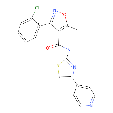 Cc1onc(-c2ccccc2Cl)c1C(=O)Nc1nc(-c2ccncc2)cs1